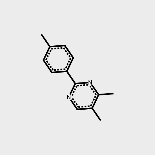 Cc1ccc(-c2ncc(C)c(C)n2)cc1